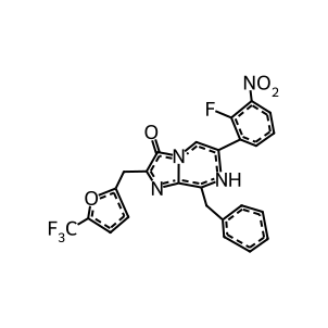 O=c1c(Cc2ccc(C(F)(F)F)o2)nc2c(Cc3ccccc3)[nH]c(-c3cccc([N+](=O)[O-])c3F)cn1-2